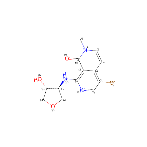 Cn1ccc2c(Br)cnc(N[C@H]3COC[C@@H]3O)c2c1=O